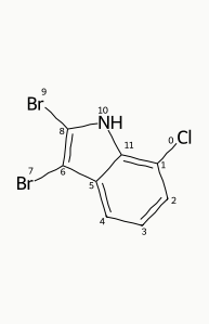 Clc1cccc2c(Br)c(Br)[nH]c12